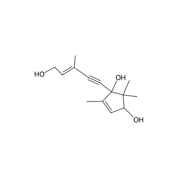 CC(C#CC1(O)C(C)=CC(O)C1(C)C)=CCO